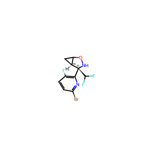 Fc1ccc(Br)nc1[C@@]1(C(F)F)NOC2C[C@@H]21